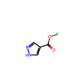 O=C(OF)c1cn[nH]c1